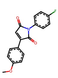 COc1ccc(C2=CC(=O)N(c3ccc(F)cc3)C2=O)cc1